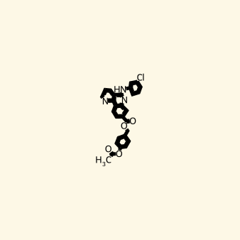 CC(=O)Oc1ccc(COC(=O)c2ccc3c(c2)nc(Nc2cccc(Cl)c2)c2cccnc23)cc1